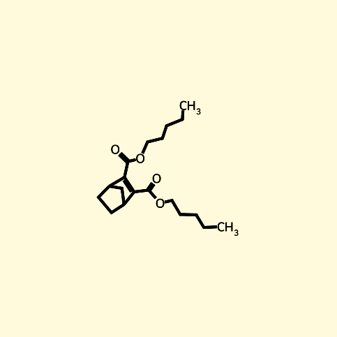 CCCCCOC(=O)C1=C(C(=O)OCCCCC)C2CCC1C2